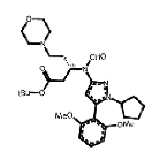 COc1cccc(OC)c1-c1cc(N(C=O)[C@@H](CCN2CCOCC2)CC(=O)OC(C)(C)C)nn1C1CCCC1